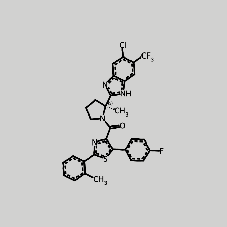 Cc1ccccc1-c1nc(C(=O)N2CCC[C@@]2(C)c2nc3cc(Cl)c(C(F)(F)F)cc3[nH]2)c(-c2ccc(F)cc2)s1